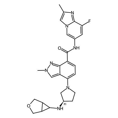 Cc1cn2cc(NC(=O)c3ccc(N4CC[C@@H](NC5C6COCC65)C4)c4cn(C)nc34)cc(F)c2n1